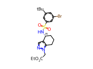 CCOC(=O)Cn1ncc2c1CCC[C@H]2NS(=O)(=O)c1cc(Br)cc(C(C)(C)C)c1